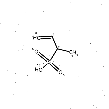 [CH]=CC(C)S(=O)(=O)O